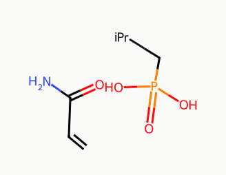 C=CC(N)=O.CC(C)CP(=O)(O)O